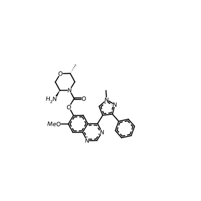 COc1cc2ncnc(-c3cn(C)nc3-c3ccccc3)c2cc1OC(=O)N1C[C@@H](C)OC[C@@H]1N